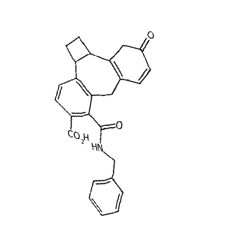 O=C1C=CC2=C(C1)C1CCC1c1ccc(C(=O)O)c(C(=O)NCc3ccccc3)c1C2